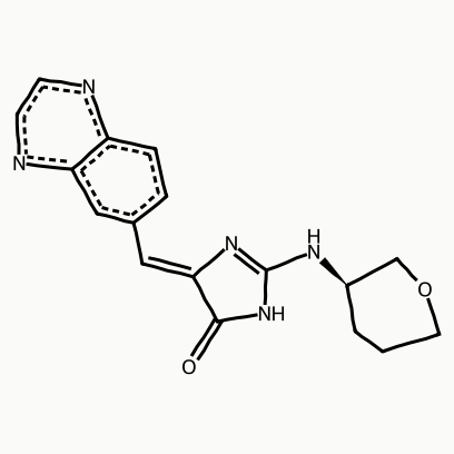 O=C1NC(N[C@@H]2CCCOC2)=N/C1=C\c1ccc2nccnc2c1